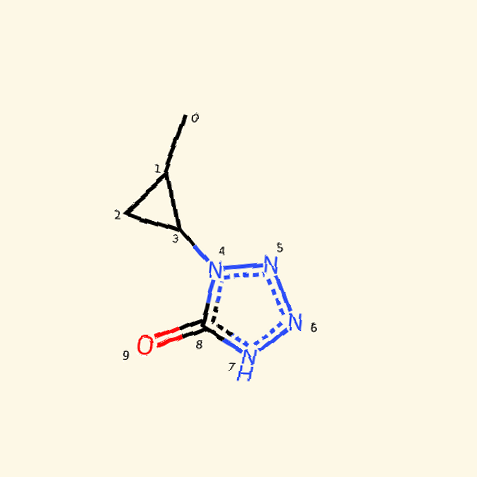 CC1CC1n1nn[nH]c1=O